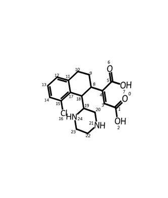 O=C(O)/C=C(\C(=O)O)C1CCc2cccc(Cl)c2C1C1CNCCN1